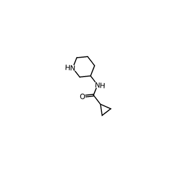 O=C(NC1CCCNC1)C1CC1